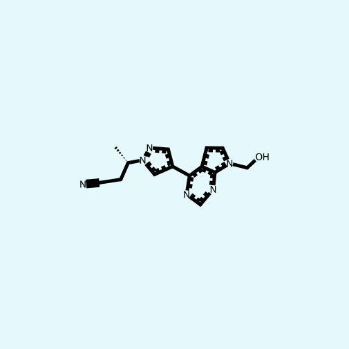 C[C@@H](CC#N)n1cc(-c2ncnc3c2ccn3CO)cn1